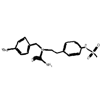 CC(C)(C)c1ccc(CN(CCc2ccc(NS(C)(=O)=O)cc2)C(N)=O)cc1